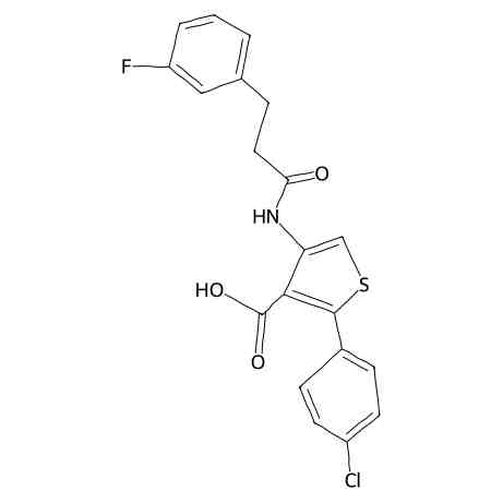 O=C(CCc1cccc(F)c1)Nc1csc(-c2ccc(Cl)cc2)c1C(=O)O